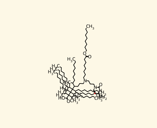 CCCCCCCCCOC(=O)CCCCCCCN(CCCC(C(C)CCCCCCCC)C(C(C)CCCCCCCC)(C(C)CCCCCCCC)C(C(C)CCCCCCCC)(C(C)CCCCCCCC)C(C(=O)O)(C(C)CCCCCCCC)C(C)CCCCCCCC)CCCn1ccc(N)nc1=O